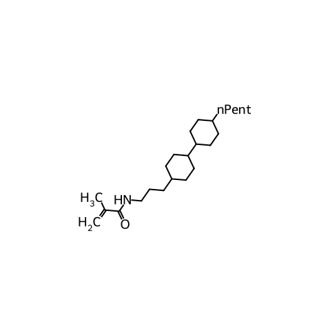 C=C(C)C(=O)NCCCC1CCC(C2CCC(CCCCC)CC2)CC1